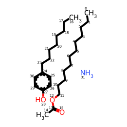 CCCCCCCCCCCCOC(C)=O.CCCCCCCCc1ccc(O)cc1.N